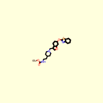 CC(C)(C)OC(=O)NCCC1CCN(Cc2coc3cc(Oc4nc5ccccc5s4)ccc23)CC1